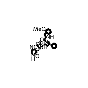 COc1cccc2[nH]c(C(=O)N3C[C@H](c4ccccc4)C[C@H]3C(=O)N[C@@H](C[C@@H]3CCCNC3=O)C(O)C#N)cc12